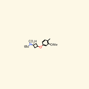 COc1cc(OC2CC(N(C(=O)O)C(C)(C)C)C2)ccc1C